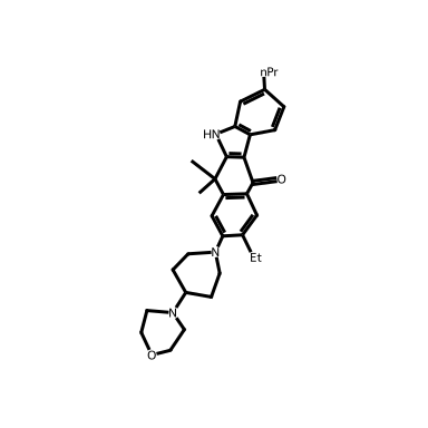 CCCc1ccc2c3c([nH]c2c1)C(C)(C)c1cc(N2CCC(N4CCOCC4)CC2)c(CC)cc1C3=O